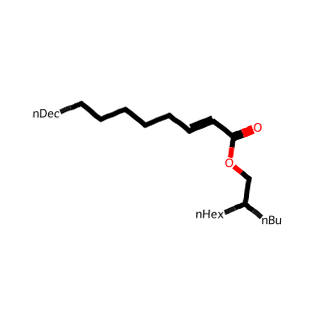 CCCCCCCCCCCCCCCC=CC(=O)OCC(CCCC)CCCCCC